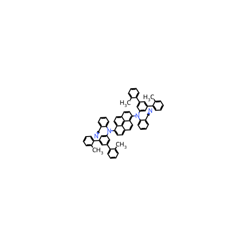 Cc1ccccc1-c1cc(-c2ccccc2C)cc(N(c2ccccc2C#N)c2ccc3ccc4c(N(c5cc(-c6ccccc6C)cc(-c6ccccc6C)c5)c5ccccc5C#N)ccc5ccc2c3c54)c1